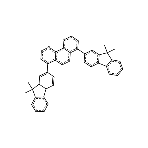 CC1(C)c2ccccc2-c2ccc(-c3ccnc4c3ccc3c(C5=CC6C(C=C5)c5ccccc5C6(C)C)ccnc34)cc21